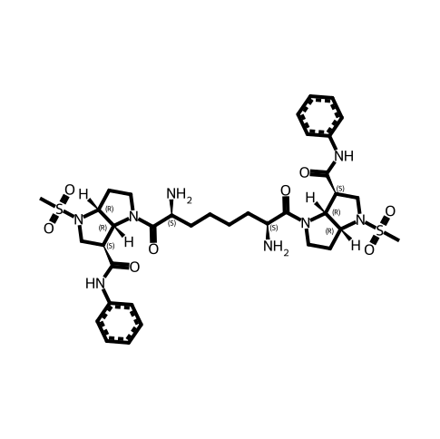 CS(=O)(=O)N1C[C@H](C(=O)Nc2ccccc2)[C@@H]2[C@H]1CCN2C(=O)[C@@H](N)CCCC[C@H](N)C(=O)N1CC[C@@H]2[C@H]1[C@@H](C(=O)Nc1ccccc1)CN2S(C)(=O)=O